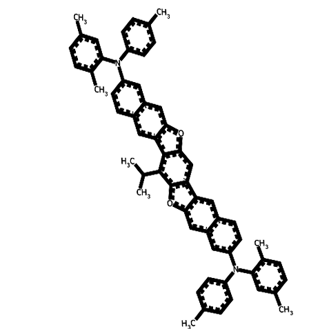 Cc1ccc(N(c2ccc3cc4c(cc3c2)oc2c(C(C)C)c3c(cc24)oc2cc4cc(N(c5ccc(C)cc5)c5cc(C)ccc5C)ccc4cc23)c2cc(C)ccc2C)cc1